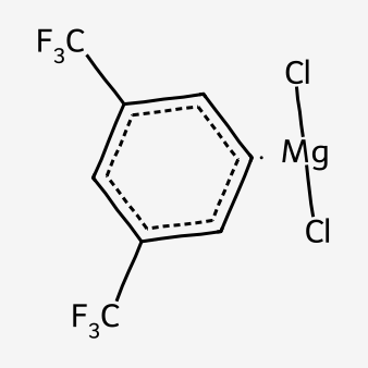 FC(F)(F)c1c[c]cc(C(F)(F)F)c1.[Cl][Mg][Cl]